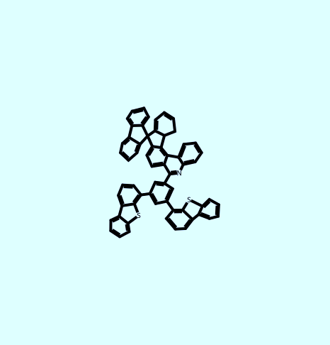 C1=CCC2C(=C1)C1(c3ccccc3-c3ccccc31)c1ccc3c(-c4cc(-c5cccc6c5sc5ccccc56)cc(-c5cccc6c5sc5ccccc56)c4)nc4ccccc4c3c12